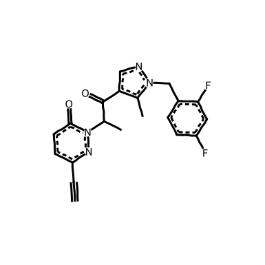 C#Cc1ccc(=O)n(C(C)C(=O)c2cnn(Cc3ccc(F)cc3F)c2C)n1